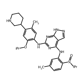 Cc1ccc([Si](=O)C(C)C)c(Nc2nc(Nc3cc(C)c(C4CCCNC4)cc3OC(C)C)nc3[nH]ncc23)c1